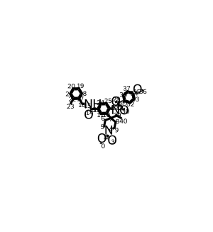 COC(=O)N1CCC2(CC1)c1cc(C(=O)NCc3ccccc3C)ccc1N(S(=O)(=O)c1ccc(OC)cc1)C2C